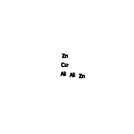 [Al].[Al].[Cu].[Zn].[Zn]